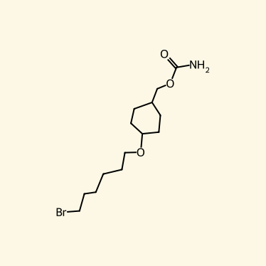 NC(=O)OCC1CCC(OCCCCCCBr)CC1